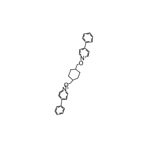 c1ccc(-c2cc[n+](OCC3CCC(CO[n+]4ccc(-c5ccccc5)cc4)CC3)cc2)cc1